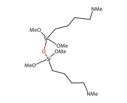 CNCCCC[Si](OC)(OC)O[Si](CCCCNC)(OC)OC